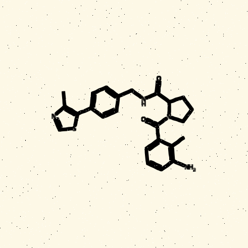 Cc1ncsc1-c1ccc(CNC(=O)C2CCCN2C(=O)c2cccc(N)c2C)cc1